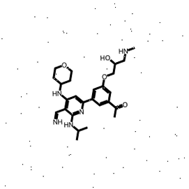 CNCC(O)COc1cc(C(C)=O)cc(-c2cc(NC3CCOCC3)c(C=N)c(NC(C)C)n2)c1